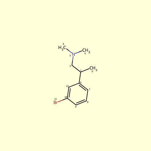 CC(CN(C)C)c1cccc(Br)c1